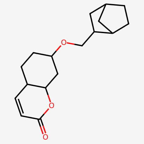 O=C1C=CC2CCC(OCC3CC4CCC3C4)CC2O1